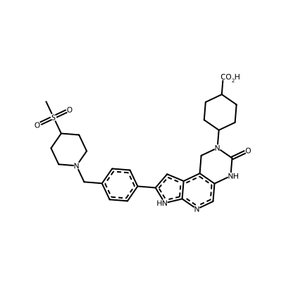 CS(=O)(=O)C1CCN(Cc2ccc(-c3cc4c5c(cnc4[nH]3)NC(=O)N(C3CCC(C(=O)O)CC3)C5)cc2)CC1